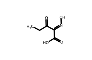 CCC(=O)/C(=N\O)C(=O)O